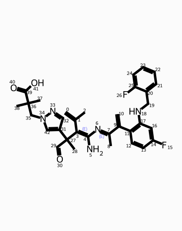 C=C(C)/C(=C(N)\N=C(/C)C(=C)c1ccc(F)cc1NCc1ccccc1F)C(C)(C=O)c1cnn(CC(C)(C)C(=O)O)c1